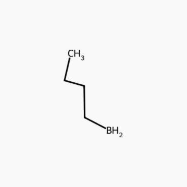 BCCCC